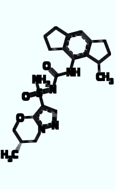 CC1CCc2cc3c(c(NC(=O)N=S(N)(=O)c4cnn5c4OC[C@@H](C)C5)c21)CCC3